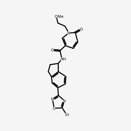 CCc1nc(-c2ccc3c(c2)CCC3NC(=O)c2ccc(=O)n(CCOC)c2)no1